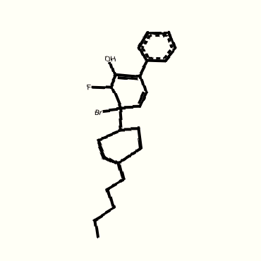 CCCCCC1CCC(C2(Br)C=CC(c3ccccc3)=C(O)C2F)CC1